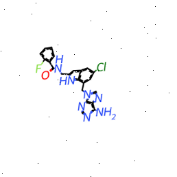 Nc1ncnc2c1ncn2Cc1cc(Cl)cc2cc(CNC(=O)c3ccccc3F)[nH]c12